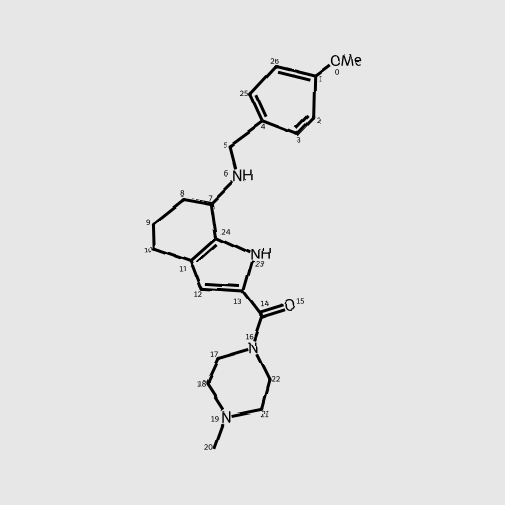 COc1ccc(CNC2CCCc3cc(C(=O)N4CCN(C)CC4)[nH]c32)cc1